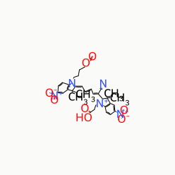 CC1(C)C(/C(C#N)=C/C=C/C=C2/N(CCCCOC=O)c3ccc([N+](=O)[O-])cc3C2(C)C)=[N+](CCC(=O)O)c2ccc([N+](=O)[O-])cc21